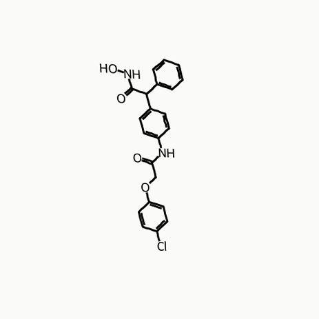 O=C(COc1ccc(Cl)cc1)Nc1ccc(C(C(=O)NO)c2ccccc2)cc1